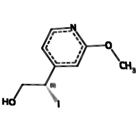 COc1cc([C@H](I)CO)ccn1